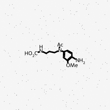 COc1cc(N(CCCNC(=O)O)C(C)=O)ccc1N